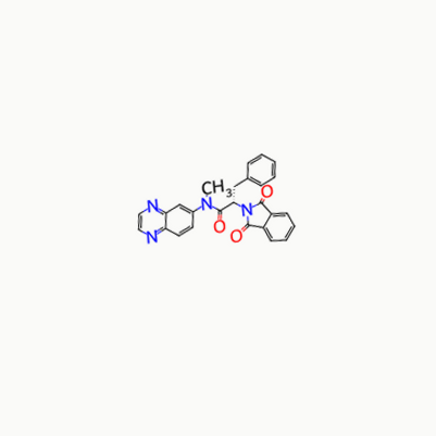 CN(C(=O)[C@H](Cc1ccccc1)N1C(=O)c2ccccc2C1=O)c1ccc2nccnc2c1